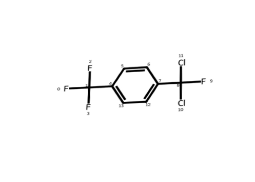 FC(F)(F)c1ccc(C(F)(Cl)Cl)cc1